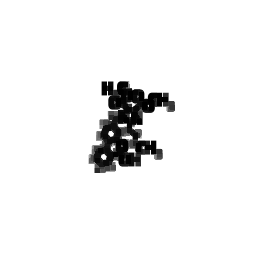 CCCCc1nc(C(=O)OC)c(C(=O)OC)n1Cc1ccc(-c2ccccc2C(=O)O)cc1